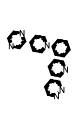 c1ccccc1.c1ccncc1.c1ccncc1.c1ccnnc1.c1cnccn1